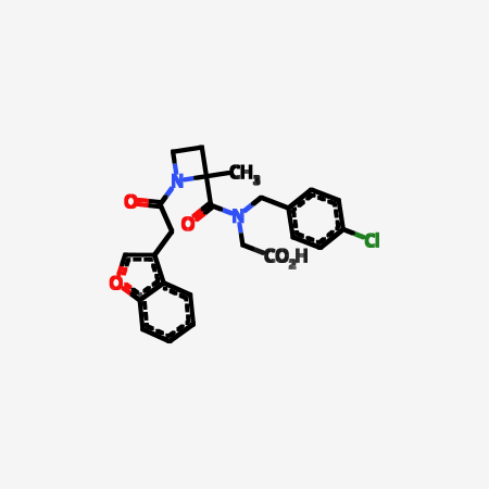 CC1(C(=O)N(CC(=O)O)Cc2ccc(Cl)cc2)CCN1C(=O)Cc1coc2ccccc12